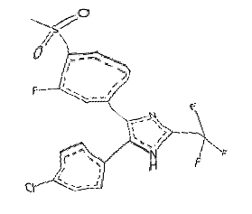 CS(=O)(=O)c1ccc(-c2nc(C(F)(F)F)[nH]c2-c2ccc(Cl)cc2)cc1F